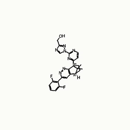 CC1(C)[C@H]2CC[C@@]1(c1ccnc(-n3cnc(CO)n3)n1)c1nnc(-c3c(F)cccc3F)cc12